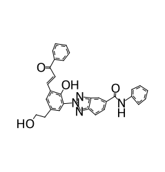 O=C(C=Cc1cc(CCO)cc(-n2nc3ccc(C(=O)Nc4ccccc4)cc3n2)c1O)c1ccccc1